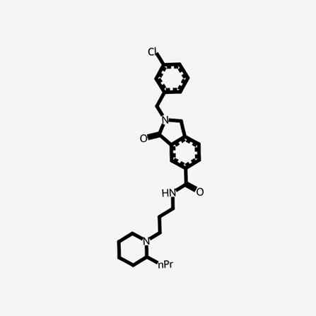 CCCC1CCCCN1CCCNC(=O)c1ccc2c(c1)C(=O)N(Cc1cccc(Cl)c1)C2